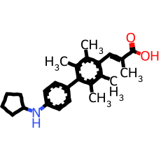 C/C(=C\c1c(C)c(C)c(-c2ccc(NC3CCCC3)cc2)c(C)c1C)C(=O)O